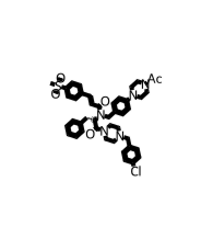 CC(=O)N1CCN(c2ccc(CN(C(=O)C=Cc3ccc(S(C)(=O)=O)cc3)[C@@H](Cc3ccccc3)C(=O)N3CCN(Cc4ccc(Cl)cc4)CC3)cc2)CC1